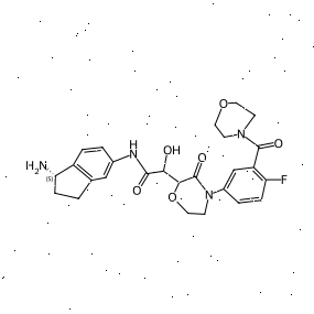 N[C@H]1CCc2cc(NC(=O)C(O)C3OCCN(c4ccc(F)c(C(=O)N5CCOCC5)c4)C3=O)ccc21